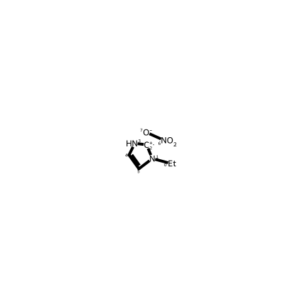 CCN1[C+]NC=C1.O=[N+]([O-])[O-]